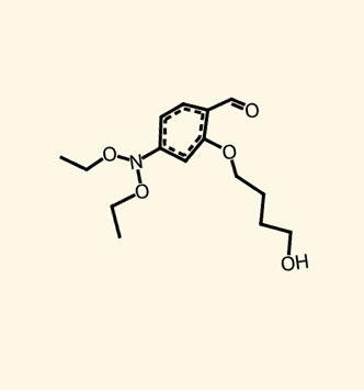 CCON(OCC)c1ccc(C=O)c(OCCCCO)c1